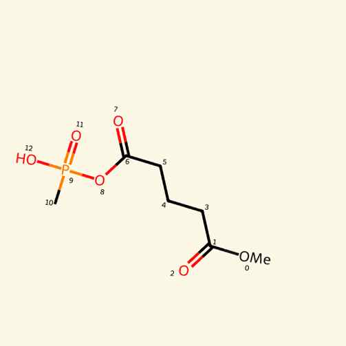 COC(=O)CCCC(=O)OP(C)(=O)O